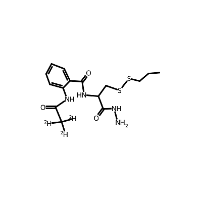 [2H]C([2H])([2H])C(=O)Nc1ccccc1C(=O)NC(CSSCCC)C(=O)NN